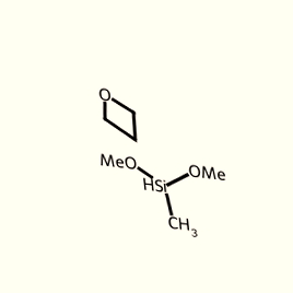 C1COC1.CO[SiH](C)OC